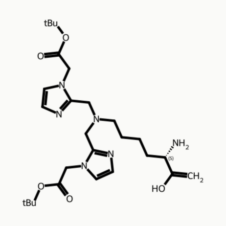 C=C(O)[C@@H](N)CCCCN(Cc1nccn1CC(=O)OC(C)(C)C)Cc1nccn1CC(=O)OC(C)(C)C